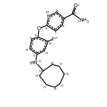 NC(=O)c1ccc(Oc2ccc(NC3CCCCCCC3)cc2F)nc1